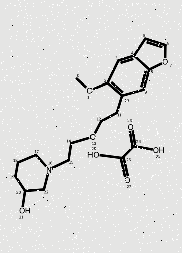 COc1cc2ccoc2cc1CCOCCN1CCCC(O)C1.O=C(O)C(=O)O